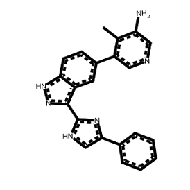 Cc1c(N)cncc1-c1ccc2[nH]nc(-c3nc(-c4ccccc4)c[nH]3)c2c1